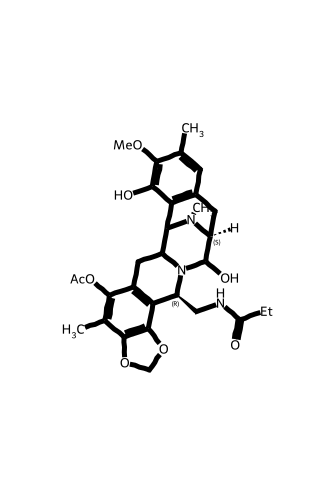 CCC(=O)NC[C@H]1c2c(c(OC(C)=O)c(C)c3c2OCO3)CC2C3c4c(cc(C)c(OC)c4O)C[C@@H](C(O)N21)N3C